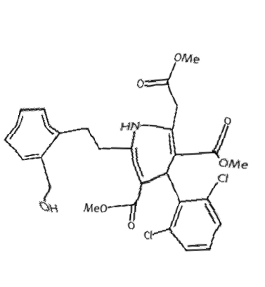 COC(=O)CC1=C(C(=O)OC)C(c2c(Cl)cccc2Cl)C(C(=O)OC)=C(CCc2ccccc2CO)N1